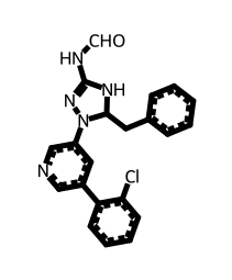 O=CNC1=NN(c2cncc(-c3ccccc3Cl)c2)C(Cc2ccccc2)N1